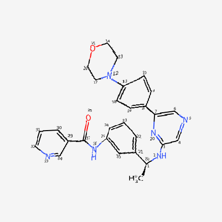 C[C@H](Nc1cncc(-c2ccc(N3CCOCC3)cc2)n1)c1cccc(NC(=O)c2cccnc2)c1